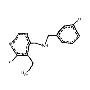 CCc1c(Cl)ncnc1NCc1cccc(Cl)c1